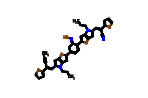 CC#C/C(=C\c1cc2sc(C3=CC=C(c4cc5c(cc(/C=C(\C#N)c6cccs6)n5CCC)s4)/C(=N/S)C3)cc2n1CCC)C1=CCCS1